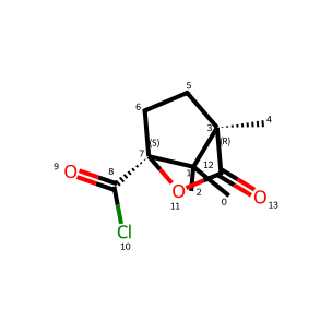 CC1(C)[C@@]2(C)CC[C@]1(C(=O)Cl)OC2=O